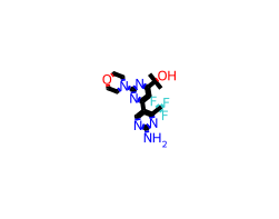 CC(C)(O)c1cc(-c2cnc(N)nc2C(F)(F)F)nc(N2CCOCC2)n1